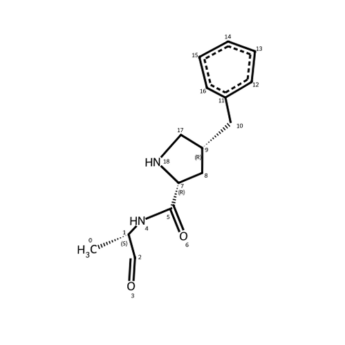 C[C@@H](C=O)NC(=O)[C@H]1C[C@@H](Cc2ccccc2)CN1